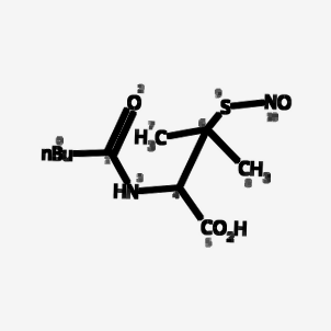 CCCCC(=O)NC(C(=O)O)C(C)(C)SN=O